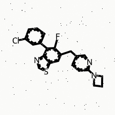 Fc1c(Cc2ccc(N3CCC3)nc2)cc2scnc2c1-c1cccc(Cl)c1